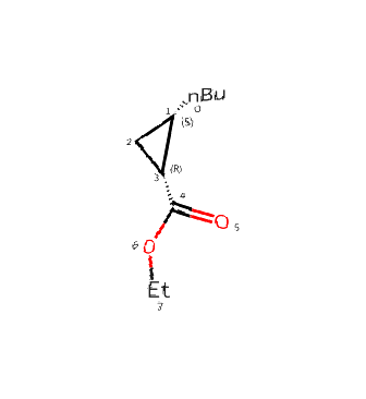 CCCC[C@H]1C[C@H]1C(=O)OCC